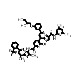 Cc1cc(C)nc(NC(=O)c2cnc3c(-c4ccc(C(=O)Nc5c(C)nc6c(C)cc(-c7ccccc7C(F)(F)F)nn56)nc4O)cc(-c4cccc(OC[C@H](O)CO)c4)nn23)c1